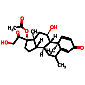 CC(=O)O[C@@]1(C(=O)CO)CC[C@H]2[C@@H]3CC(C)C4=CC(=O)C=C[C@]4(C)[C@H]3[C@@H](O)C[C@@]21C